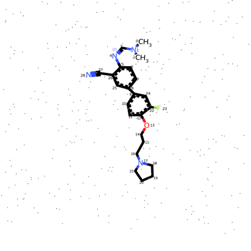 CN(C)/C=N\c1ccc(-c2ccc(OCCCN3CCCC3)c(F)c2)cc1C#N